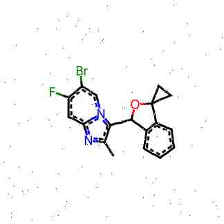 Cc1nc2cc(F)c(Br)cn2c1C1OC2(CC2)c2ccccc21